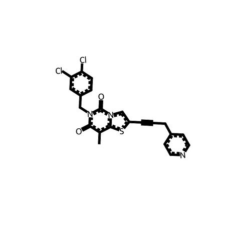 Cc1c(=O)n(Cc2ccc(Cl)c(Cl)c2)c(=O)n2cc(C#CCc3ccncc3)sc12